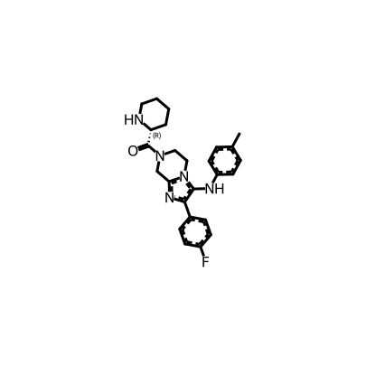 Cc1ccc(Nc2c(-c3ccc(F)cc3)nc3n2CCN(C(=O)[C@H]2CCCCN2)C3)cc1